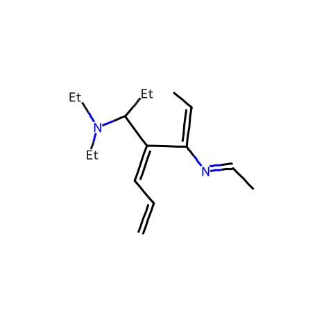 C=C\C=C(C(=C\C)/N=C/C)\C(CC)N(CC)CC